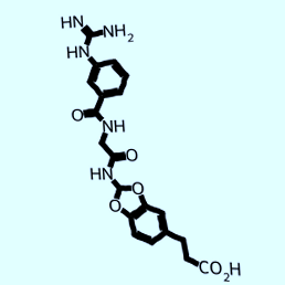 N=C(N)Nc1cccc(C(=O)NCC(=O)NC2Oc3ccc(CCC(=O)O)cc3O2)c1